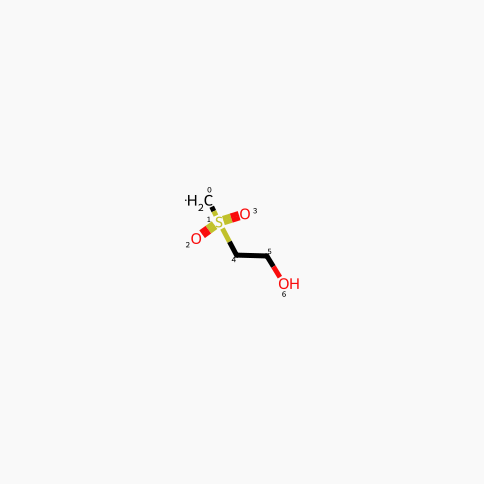 [CH2]S(=O)(=O)CCO